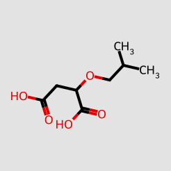 CC(C)COC(CC(=O)O)C(=O)O